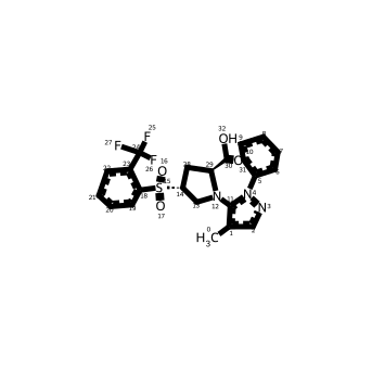 Cc1cnn(-c2ccccc2)c1N1C[C@H](S(=O)(=O)c2ccccc2C(F)(F)F)C[C@H]1C(=O)O